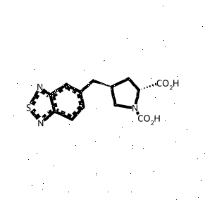 O=C(O)[C@H]1C[C@H](Cc2ccc3nsnc3c2)CN1C(=O)O